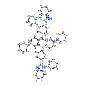 C1=CC(n2c(-c3ccc(-c4c5ccc(N6CCCCC6)cc5c(-c5ccc(C6Nc7ccccc7N6c6ccccc6)cc5)c5ccc(N6CCCCC6)cc45)cc3)nc3ccccc32)=CCC1